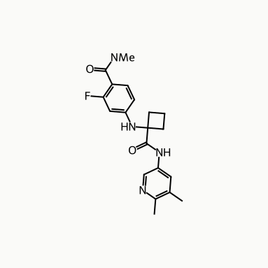 CNC(=O)c1ccc(NC2(C(=O)Nc3cnc(C)c(C)c3)CCC2)cc1F